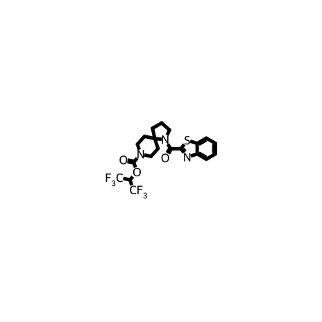 O=C(OC(C(F)(F)F)C(F)(F)F)N1CCC2(CCCN2C(=O)c2nc3ccccc3s2)CC1